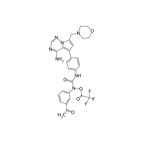 CC(=O)c1cccc(N(OC(=O)C(F)(F)F)C(=O)Nc2ccc(-c3cc(CN4CCOCC4)n4ncnc(N)c34)cc2)c1